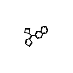 C1=CC(=C(c2ccc3ccccc3c2)C2C=CC2)C=C1